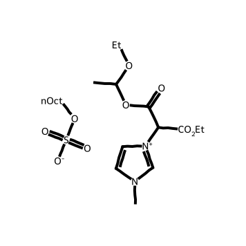 CCCCCCCCOS(=O)(=O)[O-].CCOC(=O)C(C(=O)OC(C)OCC)[n+]1ccn(C)c1